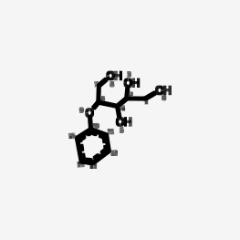 OCC(O)C(O)C(CO)Oc1ccccc1